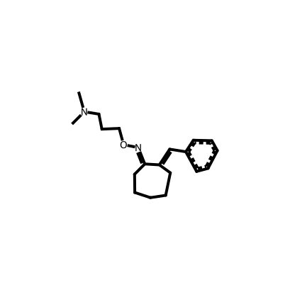 CN(C)CCCON=C1CCCCCC1=Cc1ccccc1